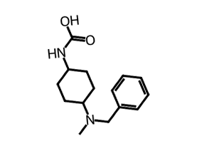 CN(Cc1ccccc1)C1CCC(NC(=O)O)CC1